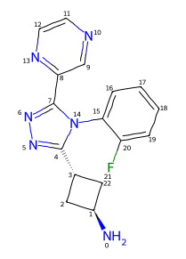 N[C@H]1C[C@H](c2nnc(-c3cnccn3)n2-c2ccccc2F)C1